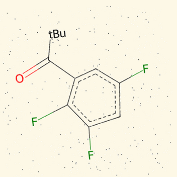 CC(C)(C)C(=O)c1cc(F)cc(F)c1F